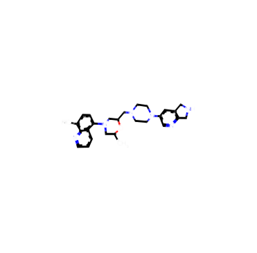 CC1CN(c2ccc(C#N)c3ncccc23)CC(CN2CCN(c3cnc4c(c3)CNC4)CC2)O1